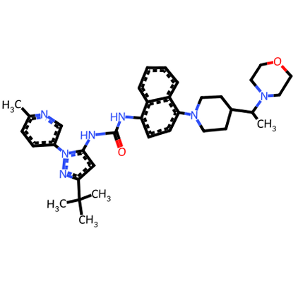 Cc1ccc(-n2nc(C(C)(C)C)cc2NC(=O)Nc2ccc(N3CCC(C(C)N4CCOCC4)CC3)c3ccccc23)cn1